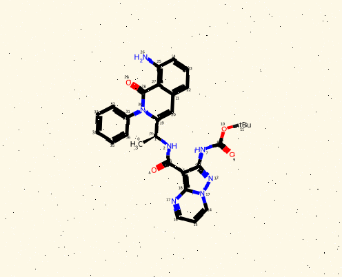 C[C@H](NC(=O)c1c(NC(=O)OC(C)(C)C)nn2cccnc12)c1cc2cccc(N)c2c(=O)n1-c1ccccc1